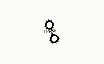 O=C(C1CCCCCCCCCC1)N(O)C1C2CCCCCCCCCC21